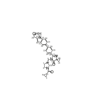 O=C(C1CC1)N1CC[C@@H](CN2C(=O)C3(CC3)N=C2c2ccc(-c3ccc4[nH]c(CO)cc4c3)cc2)C1